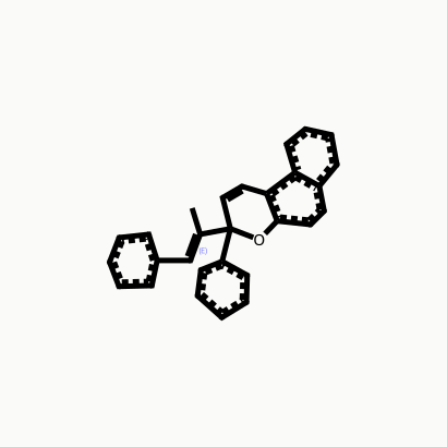 C/C(=C\c1ccccc1)C1(c2ccccc2)C=Cc2c(ccc3ccccc23)O1